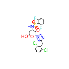 O=C(O)CC(NS(=O)(=O)c1c(F)cccc1F)C(=O)Cn1nnc(Cc2c(Cl)cccc2Cl)n1